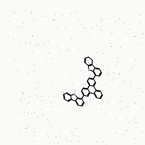 C1=Cc2sc3c(-c4ccc5c6ccc(-c7cccc8c7sc7ccccc78)cc6c6ccccc6c5c4)cccc3c2CC1